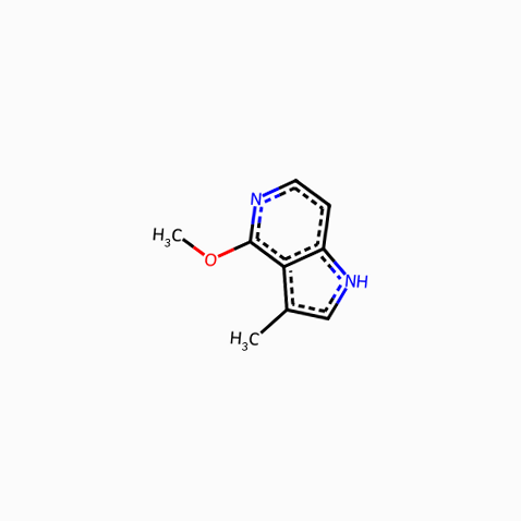 COc1nccc2[nH]cc(C)c12